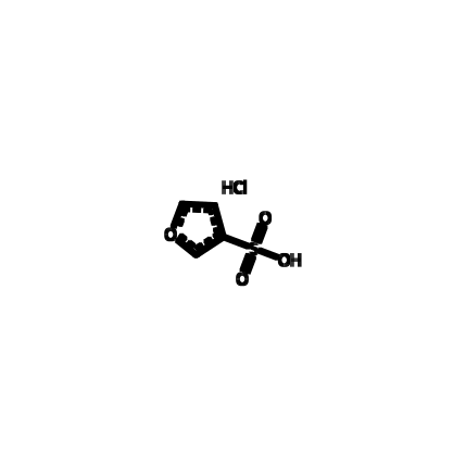 Cl.O=S(=O)(O)c1ccoc1